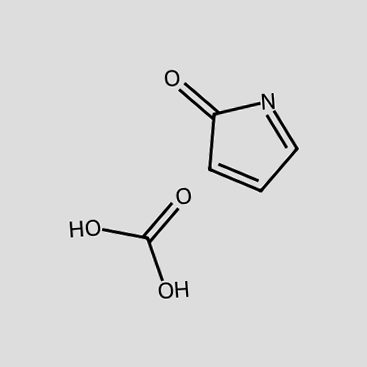 O=C(O)O.O=C1C=CC=N1